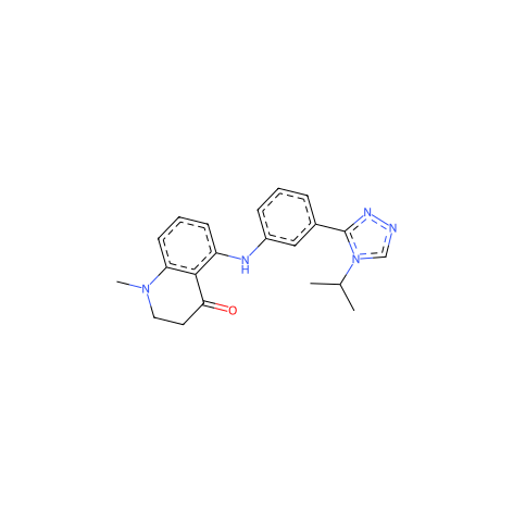 CC(C)n1cnnc1-c1cccc(Nc2cccc3c2C(=O)CCN3C)c1